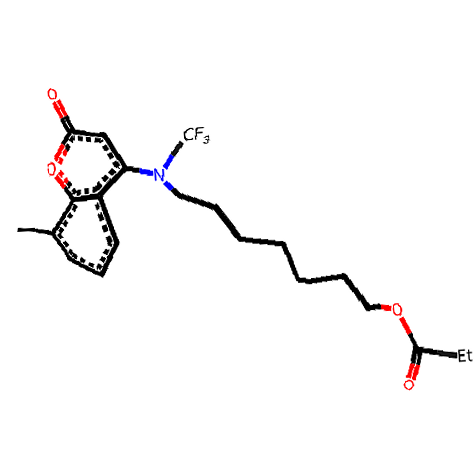 CCC(=O)OCCCCCCCN(c1cc(=O)oc2c(C)cccc12)C(F)(F)F